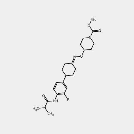 CN(C)C(=O)Nc1ccc(C2CCC(=NOC3CCN(C(=O)OC(C)(C)C)CC3)CC2)cc1F